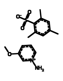 COc1ccc[n+](N)c1.Cc1cc(C)c(S(=O)(=O)[O-])c(C)c1